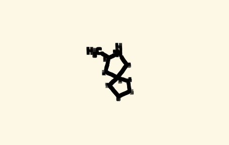 CC1CC2(CCCC2)CN1